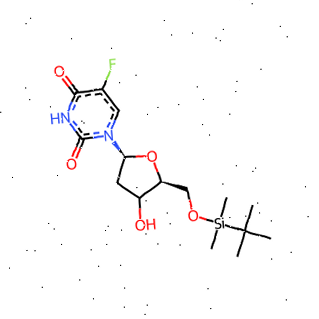 CC(C)(C)[Si](C)(C)OC[C@@H]1O[C@H](n2cc(F)c(=O)[nH]c2=O)CC1O